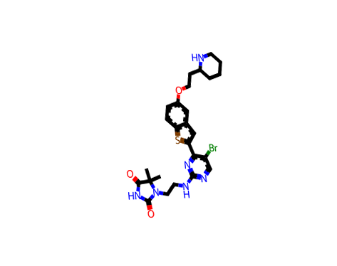 CC1(C)C(=O)NC(=O)N1CCNc1ncc(Br)c(-c2cc3cc(OCCC4CCCCN4)ccc3s2)n1